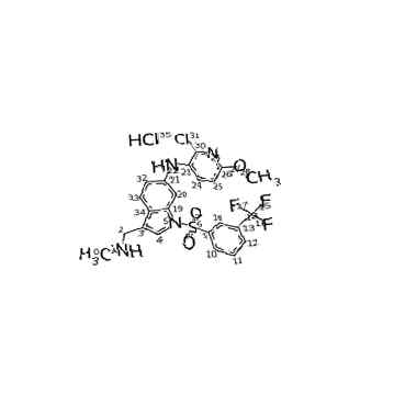 CNCc1cn(S(=O)(=O)c2cccc(C(F)(F)F)c2)c2cc(Nc3ccc(OC)nc3Cl)ccc12.Cl